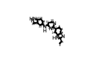 C=Cc1nc2ccc(-c3nccc(Nc4ccc5[nH]ncc5c4)n3)cc2[nH]1